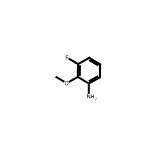 COc1c(F)[c]ccc1N